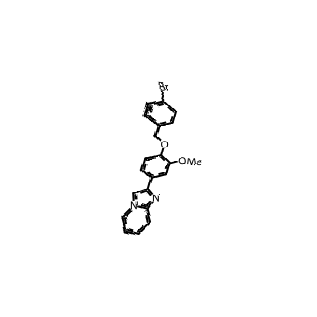 COc1cc(-c2cn3ccccc3n2)ccc1OCc1ccc(Br)cc1